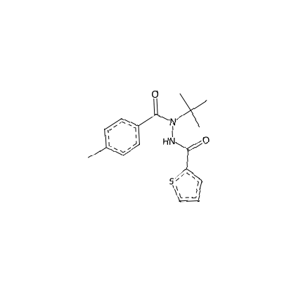 Cc1ccc(C(=O)N(NC(=O)c2cccs2)C(C)(C)C)cc1